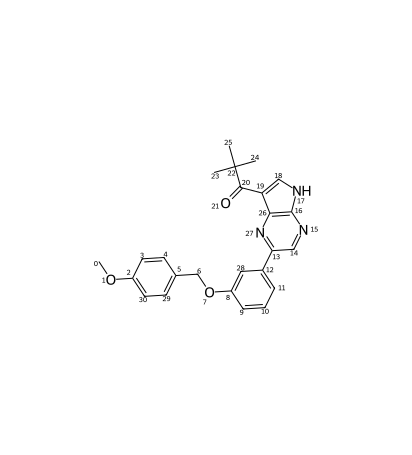 COc1ccc(COc2cccc(-c3cnc4[nH]cc(C(=O)C(C)(C)C)c4n3)c2)cc1